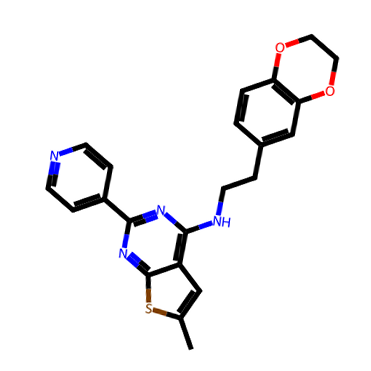 Cc1cc2c(NCCc3ccc4c(c3)OCCO4)nc(-c3ccncc3)nc2s1